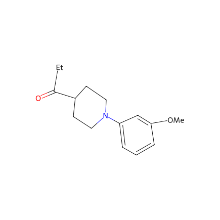 CCC(=O)C1CCN(c2cccc(OC)c2)CC1